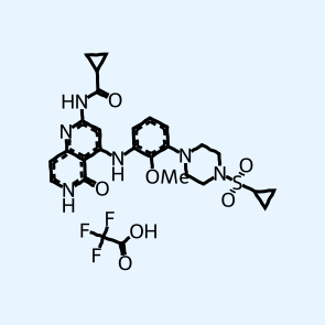 COc1c(Nc2cc(NC(=O)C3CC3)nc3cc[nH]c(=O)c23)cccc1N1CCN(S(=O)(=O)C2CC2)CC1.O=C(O)C(F)(F)F